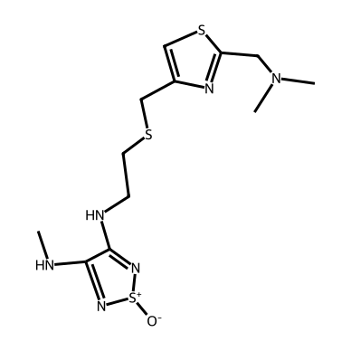 CNc1n[s+]([O-])nc1NCCSCc1csc(CN(C)C)n1